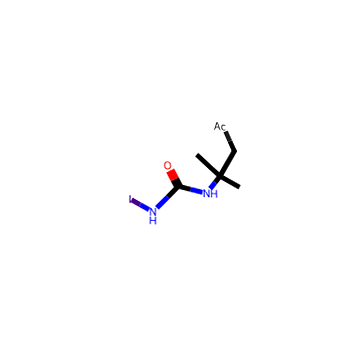 CC(=O)CC(C)(C)NC(=O)NI